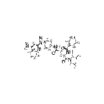 CCCN(CCC)C(=O)C(CCC(=O)N[C@H]1CC[C@@H](Nc2cc(N(C)C)c3ccccc3n2)CC1)NC(=O)c1ccccc1